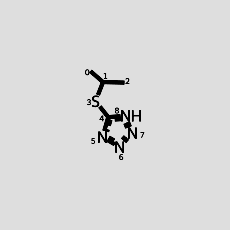 CC(C)Sc1nnn[nH]1